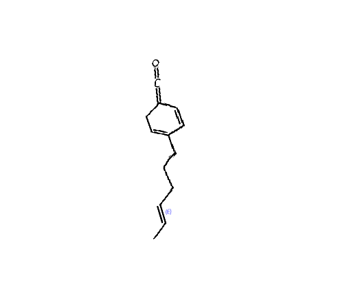 C/C=C/CCCC1=CCC(=C=O)C=C1